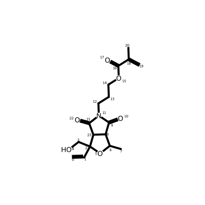 C=CC1(CO)OC(C)C2C(=O)N(CCCOC(=O)C(=C)C)C(=O)C21